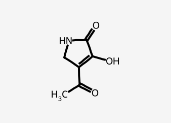 CC(=O)C1=C(O)C(=O)NC1